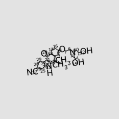 CC1(C)c2cc(OCCN(CCO)CCO)ccc2C(=O)c2c1[nH]c1cc(C#N)ccc21